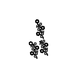 CCOC(=O)c1ccccc1NC(=O)c1ccccc1NC(=O)C(C)(C)C.CCOC(=O)c1ccccc1NC(=O)c1ccccc1NC(=O)C1CCCCC1.CCOC(=O)c1ccccc1NC(=O)c1ccccc1NC(=O)Cc1ccccc1